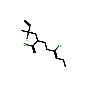 C=CC(C)(Cl)CC(CCC(Cl)=CCC)C(=C)Cl